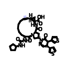 O=C(NC1CCCC1)N[C@@H]1CCCCC/C=C\[C@@H]2C[C@]2(C(=O)O)NC(=O)C2C[C@H](N3N=C[C@H](c4ccsc4)C(c4ccsc4)C3=O)CN2C1=O